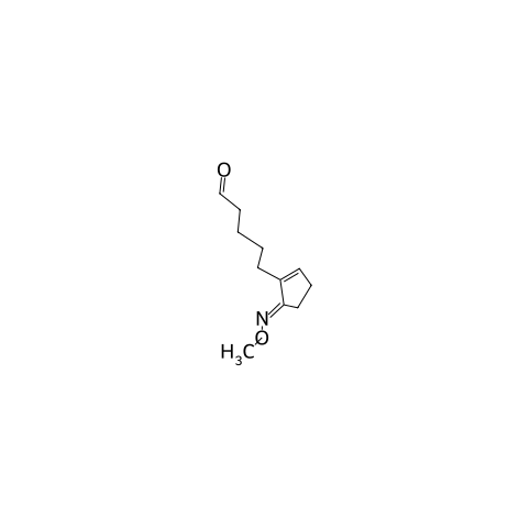 CON=C1CCC=C1CCCCC=O